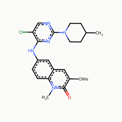 COc1cc2cc(Nc3nc(N4CCC(C)CC4)ncc3Cl)ccc2n(C)c1=O